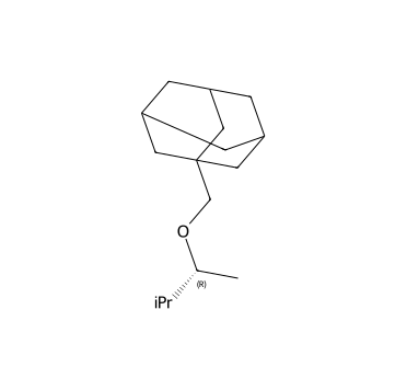 CC(C)[C@@H](C)OCC12CC3CC(CC(C3)C1)C2